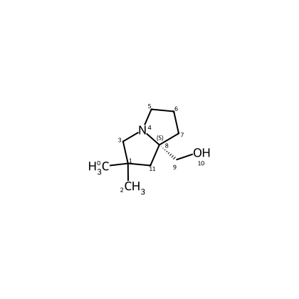 CC1(C)CN2CCC[C@@]2(CO)C1